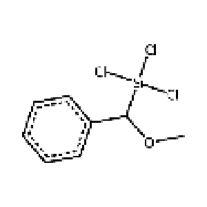 COC(c1ccccc1)[Si](Cl)(Cl)Cl